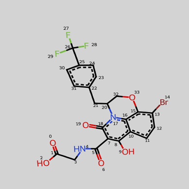 O=C(O)CNC(=O)c1c(O)c2ccc(Br)c3c2n(c1=O)C(Cc1ccc(C(F)(F)F)cc1)CO3